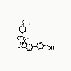 CN1CCC(C(=O)Nc2n[nH]c3ccc(-c4ccc(CO)cc4)cc23)CC1